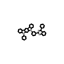 c1ccc(-c2nc(-c3cccc(-n4c5ccccc5c5cc6c7ccccc7n(-c7ccccc7)c6cc54)c3)nc3ccccc23)cc1